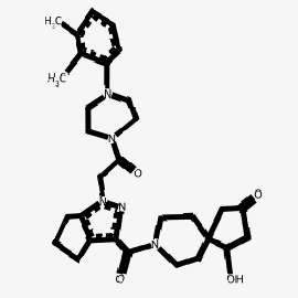 Cc1cccc(N2CCN(C(=O)Cn3nc(C(=O)N4CCC5(CC4)CC(=O)CC5O)c4c3CCC4)CC2)c1C